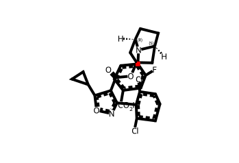 O=C(O)c1ccc(N2[C@@H]3CC[C@H]2CC(OC(=O)c2c(-c4c(Cl)cccc4Cl)noc2C2CC2)C3)c(F)c1